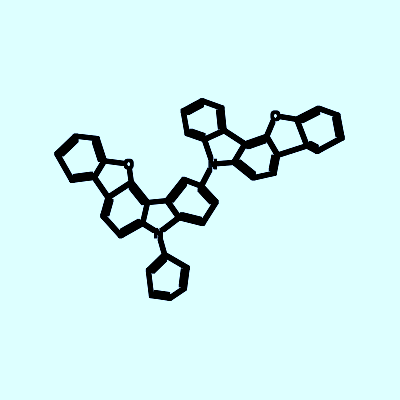 c1ccc(-n2c3ccc(-n4c5ccccc5c5c6oc7ccccc7c6ccc54)cc3c3c4oc5ccccc5c4ccc32)cc1